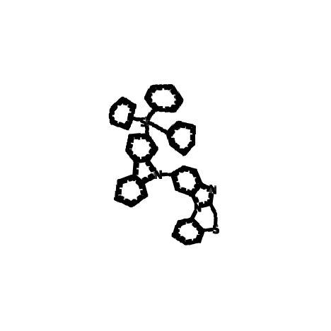 c1ccc([Si](c2ccccc2)(c2ccccc2)c2ccc3c4ccccc4n(-c4ccc5nc6n(c5c4)-c4ccccc4SC6)c3c2)cc1